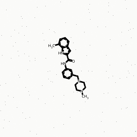 Cc1cccc2cc(C(=O)Nc3cccc(CN4CCN(C)CC4)c3)[nH]c12